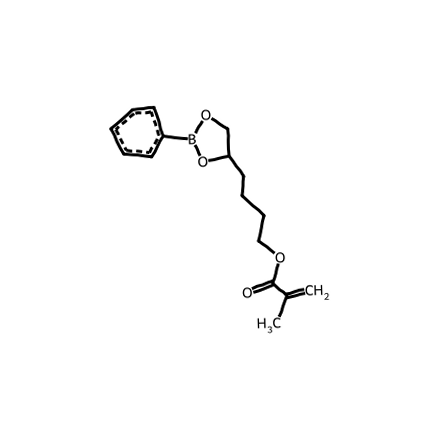 C=C(C)C(=O)OCCCCC1COB(c2ccccc2)O1